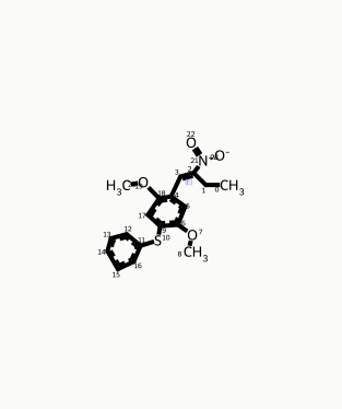 CC/C(=C\c1cc(OC)c(Sc2ccccc2)cc1OC)[N+](=O)[O-]